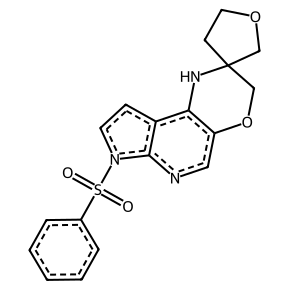 O=S(=O)(c1ccccc1)n1ccc2c3c(cnc21)OCC1(CCOC1)N3